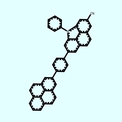 N#Cc1cc2ccc3cc(-c4ccc(-c5cc6ccc7cccc8ccc(c5)c6c78)cc4)cc4c3c2c(c1)n4-c1ccccc1